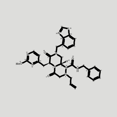 C=CCN1CC(=O)N2[C@@H](Cc3ccnc(OC)n3)C(=O)N(Cc3cccc4scnc34)C[C@@H]2N1C(=O)NCc1ccccc1